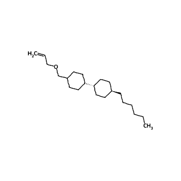 C=CCOCC1CCC([C@H]2CC[C@H](CCCCCC)CC2)CC1